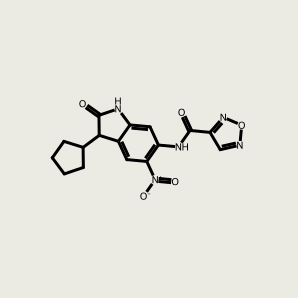 O=C(Nc1cc2c(cc1[N+](=O)[O-])C(C1CCCC1)C(=O)N2)c1cnon1